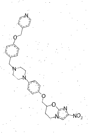 O=[N+]([O-])c1cn2c(n1)OC(COc1ccc(N3CCN(Cc4ccc(OCc5ccncc5)cc4)CC3)cc1)CC2